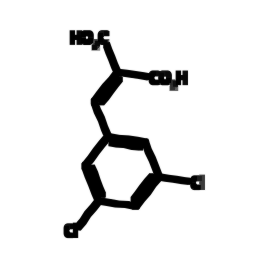 O=C(O)C(=Cc1cc(Cl)cc(Cl)c1)C(=O)O